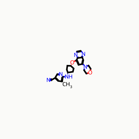 Cc1cc(C#N)cnc1N[C@H]1CC[C@@H](Oc2cc(N3CCOCC3)cc3nccnc23)CC1